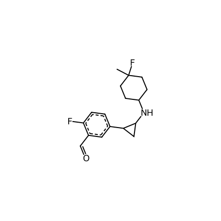 CC1(F)CCC(NC2CC2c2ccc(F)c(C=O)c2)CC1